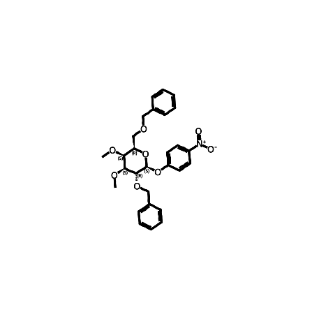 CO[C@H]1[C@@H](OC)[C@@H](COCc2ccccc2)O[C@@H](Oc2ccc([N+](=O)[O-])cc2)[C@@H]1OCc1ccccc1